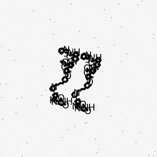 Cc1c(OC2CCC(CCCCN3CCC[C@H](c4ccc5c(C6CCC(=O)NC6=O)nn(C)c5c4)C3)CC2)cccc1-c1ccc(N2CCc3cccc(C(=O)Nc4nc5ccccc5s4)c3C2)nc1C(=O)O.Cc1c(OC2CCC(CCCCN3CCC[C@H](c4ccc5c(C6CCC(=O)NC6=O)nn(C)c5c4)C3)CC2)cccc1-c1ccc(N2CCc3cccc(C(=O)Nc4nc5ccccc5s4)c3C2)nc1C(=O)OC(C)(C)C